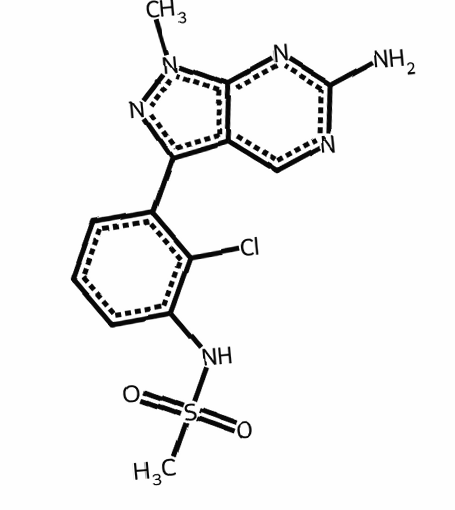 Cn1nc(-c2cccc(NS(C)(=O)=O)c2Cl)c2cnc(N)nc21